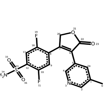 Cc1cncc(C2=C(c3cc(F)c(S(N)(=O)=O)cc3F)COC2=O)c1